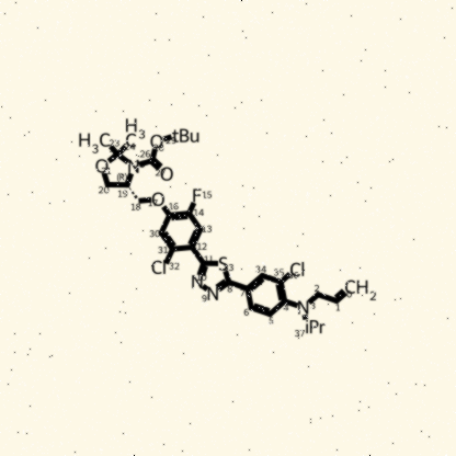 C=CCN(c1ccc(-c2nnc(-c3cc(F)c(OC[C@@H]4COC(C)(C)N4C(=O)OC(C)(C)C)cc3Cl)s2)cc1Cl)C(C)C